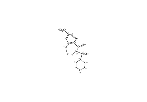 CC(C)C1c2ccc(C(=O)O)cc2OCCN1C(=O)C1CCOCC1